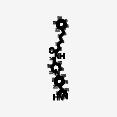 O=C(CCCCCc1ccccc1)NCC1CCN(c2ccc(-c3cn[nH]c3)cc2)CC1